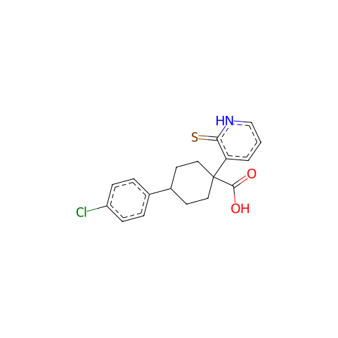 O=C(O)C1(c2ccc[nH]c2=S)CCC(c2ccc(Cl)cc2)CC1